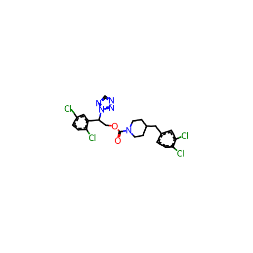 O=C(OCC(c1cc(Cl)ccc1Cl)n1ncnn1)N1CCC(Cc2ccc(Cl)c(Cl)c2)CC1